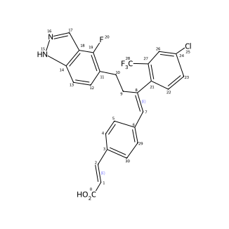 O=C(O)/C=C/c1ccc(/C=C(\CCc2ccc3[nH]ncc3c2F)c2ccc(Cl)cc2C(F)(F)F)cc1